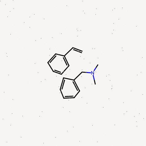 C=Cc1ccccc1.CN(C)Cc1ccccc1